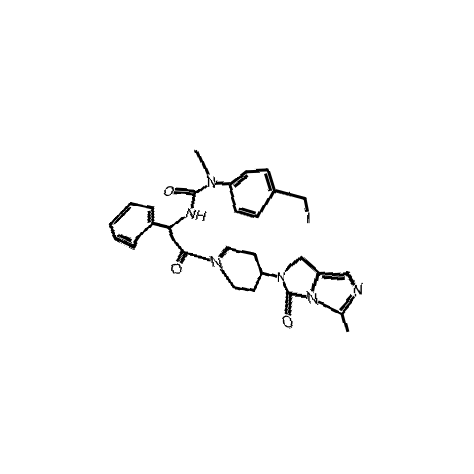 Cc1ncc2n1C(=O)N(C1CCN(C(=O)C(NC(=O)N(C)c3ccc(CI)cc3)c3ccccc3)CC1)C2